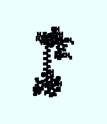 Cc1ncsc1-c1ccc([C@H](C)NC(=O)[C@@H]2C[C@@H](O)CN2C(=O)[C@@H](NC(=O)CCCCCCCCCNC(=O)c2cc(Nc3cc(F)cc(C(F)(F)F)c3)c3c(c2)C(=O)N[C@H]3c2cc(F)ccc2Cl)C(C)(C)C)cc1